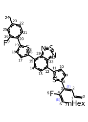 C=C/C=C(\C(F)=C/CCCCCC)c1ccc(-c2ccc(-c3ccc(-c4ccc(C)cc4F)s3)c3nsnc23)s1